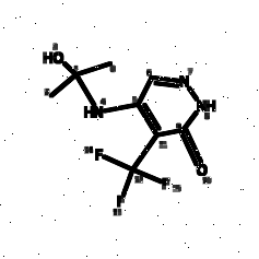 CC(C)(O)Nc1cn[nH]c(=O)c1C(F)(F)F